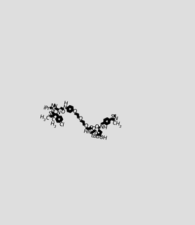 Cc1ncsc1-c1ccc(CNC(=O)[C@@H]2C[C@@H](O)CN2C(=O)[C@@H](NC(=O)COCCCOCCCOc2ccc(NC(=O)C[C@@H]3N=C(c4ccc(Cl)cc4)c4c(sc(C)c4C)-n4c(C(C)C)nnc43)cc2)C(C)(C)C)cc1